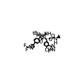 CC(C)(C)C[C@]1(c2ccc(-c3cnn(C(F)F)c3)cc2)NC(=N)N([C@H](COC(=O)NC2CC2)c2ccc(Cl)c(-c3ncnn3F)c2)C1=O